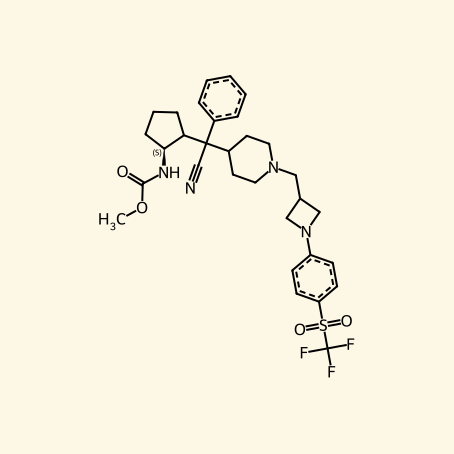 COC(=O)N[C@H]1CCCC1C(C#N)(c1ccccc1)C1CCN(CC2CN(c3ccc(S(=O)(=O)C(F)(F)F)cc3)C2)CC1